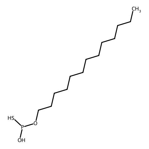 CCCCCCCCCCCCCOP(O)S